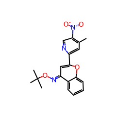 Cc1cc(-c2cc(=NOC(C)(C)C)c3ccccc3o2)ncc1[N+](=O)[O-]